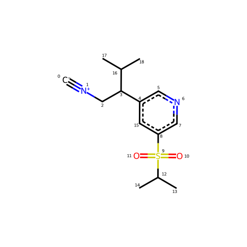 [C-]#[N+]CC(c1cncc(S(=O)(=O)C(C)C)c1)C(C)C